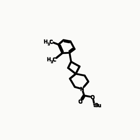 Cc1cccc(C2CC3(CCN(C(=O)OC(C)(C)C)CC3)C2)c1C